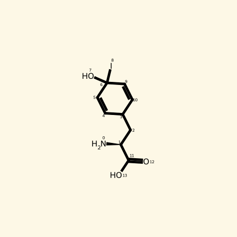 N[C@@H](CC1C=CC(O)(I)C=C1)C(=O)O